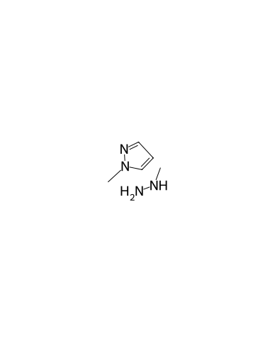 CNN.Cn1cccn1